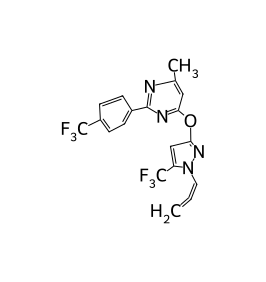 C=C=Cn1nc(Oc2cc(C)nc(-c3ccc(C(F)(F)F)cc3)n2)cc1C(F)(F)F